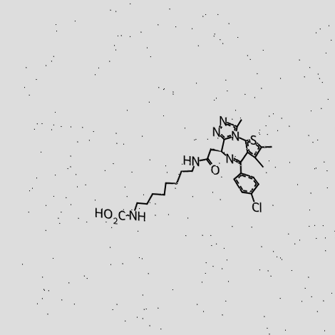 Cc1sc2c(c1C)C(c1ccc(Cl)cc1)=N[C@@H](CC(=O)NCCCCCCCCNC(=O)O)c1nnc(C)n1-2